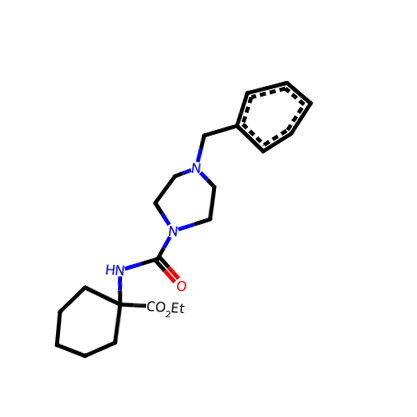 CCOC(=O)C1(NC(=O)N2CCN(Cc3ccccc3)CC2)CCCCC1